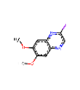 COc1cc2ncc(I)nc2cc1OC